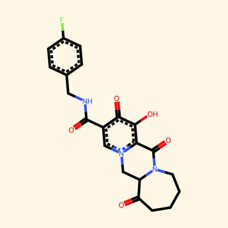 O=C(NCc1ccc(F)cc1)c1cn2c(c(O)c1=O)C(=O)N1CCCCC(=O)C1C2